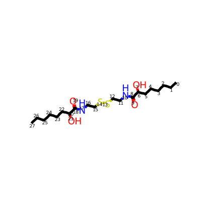 CCCCCCC(O)C(=O)NCCSSCCNC(=O)C(O)CCCCCC